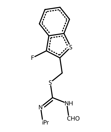 CC(C)/N=C(\NC=O)SCc1sc2ccccc2c1F